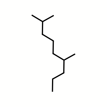 CCCC(C)CCCC(C)C